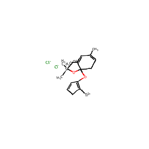 CC1=CCC(OC2=[C]([Ti+2])CC=C2)(O[Si](C)(C)C)C(C)=C1.[Cl-].[Cl-]